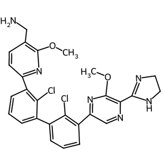 COc1nc(-c2cccc(-c3cccc(-c4cnc(C5=NCCN5)c(OC)n4)c3Cl)c2Cl)ccc1CN